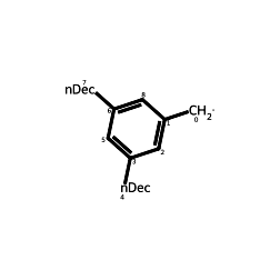 [CH2]c1cc(CCCCCCCCCC)cc(CCCCCCCCCC)c1